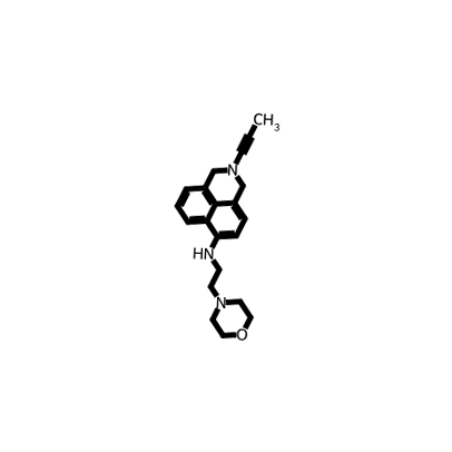 CC#CN1Cc2cccc3c(NCCN4CCOCC4)ccc(c23)C1